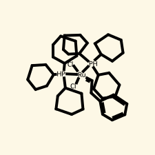 [Cl][Ru]([Cl])(=[CH]Cc1ccccc1)([PH](C1CCCCC1)(C1CCCCC1)C1CCCCC1)[PH](C1CCCCC1)(C1CCCCC1)C1CCCCC1